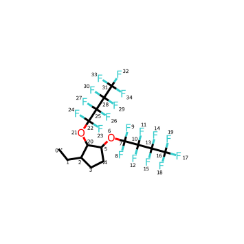 [CH2]CC1C[CH]C(OC(F)(F)C(F)(F)C(F)(F)C(F)(F)F)C1OC(F)(F)C(F)(F)C(F)(F)C(F)(F)F